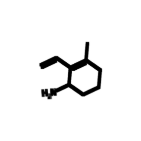 C=CC1=C(C)CCCC1N